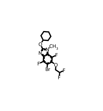 Cn1c(OC2CCCCC2)nc2c(F)c(Br)c(OCC(F)F)c(F)c21